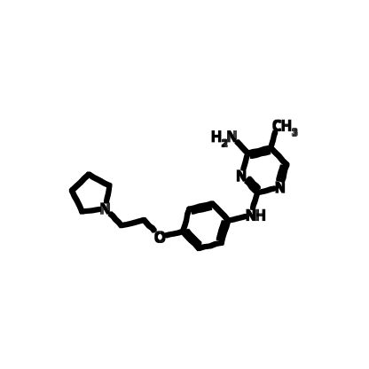 Cc1cnc(Nc2ccc(OCCN3CCCC3)cc2)nc1N